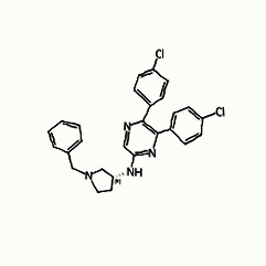 Clc1ccc(-c2ncc(N[C@@H]3CCN(Cc4ccccc4)C3)nc2-c2ccc(Cl)cc2)cc1